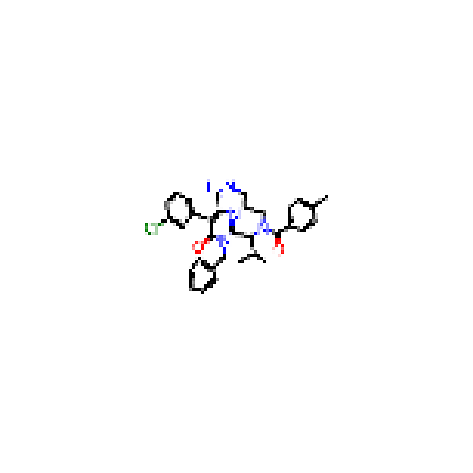 Cc1ccc(C(=O)N(CCCN)C(c2nc(C)c(-c3cccc(Cl)c3)c(=O)n2Cc2ccccc2)C(C)C)cc1